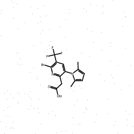 Cc1ccc(C)n1-c1cc(C(F)(F)F)c(Br)nc1CC(=O)O